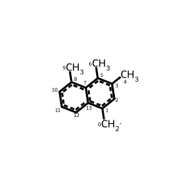 [CH2]c1cc(C)c(C)c2c(C)cccc12